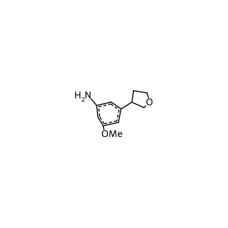 COc1cc(N)cc(C2CCOC2)c1